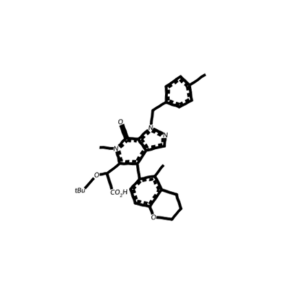 Cc1ccc(Cn2ncc3c(-c4ccc5c(c4C)CCCO5)c(C(OC(C)(C)C)C(=O)O)n(C)c(=O)c32)cc1